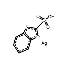 O=S(=O)(O)c1nc2ccccc2o1.[Ag]